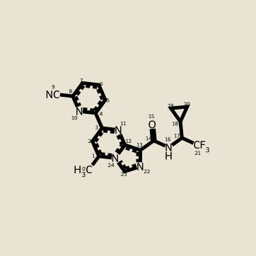 Cc1cc(-c2cccc(C#N)n2)nc2c(C(=O)NC(C3CC3)C(F)(F)F)ncn12